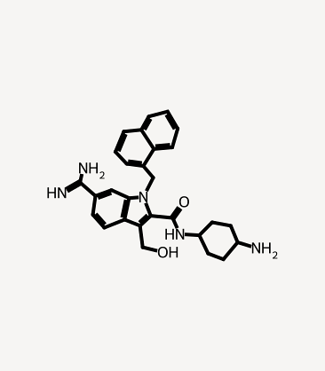 N=C(N)c1ccc2c(CO)c(C(=O)NC3CCC(N)CC3)n(Cc3cccc4ccccc34)c2c1